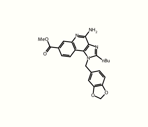 CCCCc1nc2c(N)nc3cc(C(=O)OC)ccc3c2n1Cc1ccc2c(c1)OCO2